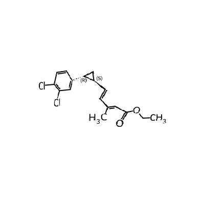 CCOC(=O)C=C(C)C=C[C@@H]1C[C@H]1c1ccc(Cl)c(Cl)c1